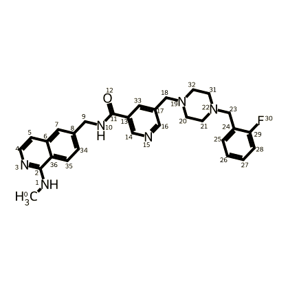 CNc1nccc2cc(CNC(=O)c3cncc(CN4CCN(Cc5ccccc5F)CC4)c3)ccc12